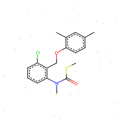 CSC(=O)N(C)c1cccc(Cl)c1COc1ccc(C)cc1C